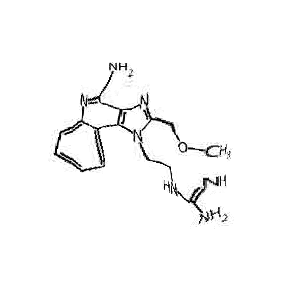 COCc1nc2c(N)nc3ccccc3c2n1CCNC(=N)N